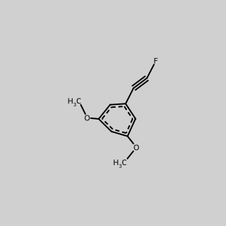 COc1cc(C#CF)cc(OC)c1